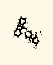 COc1ncc(Cl)cc1C1(O)CCN(CC23CC(c4ccccc42)c2ccccc23)CC1